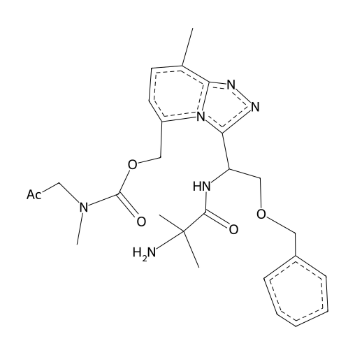 CC(=O)CN(C)C(=O)OCc1ccc(C)c2nnc(C(COCc3ccccc3)NC(=O)C(C)(C)N)n12